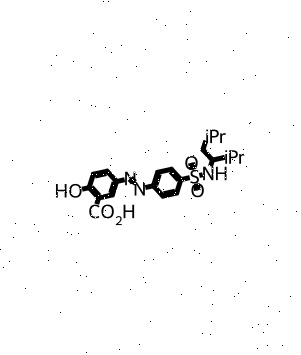 CC(C)CC(NS(=O)(=O)c1ccc(/N=N/c2ccc(O)c(C(=O)O)c2)cc1)C(C)C